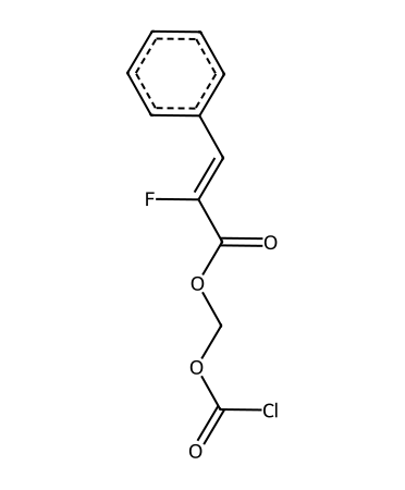 O=C(Cl)OCOC(=O)C(F)=Cc1ccccc1